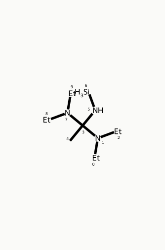 CCN(CC)C(C)(N[SiH3])N(CC)CC